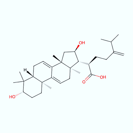 C=C(CC[C@@H](C(=O)O)[C@H]1[C@H](O)C[C@@]2(C)C3=CC[C@H]4C(C)(C)[C@@H](O)CC[C@]4(C)C3=CC[C@]12C)C(C)C